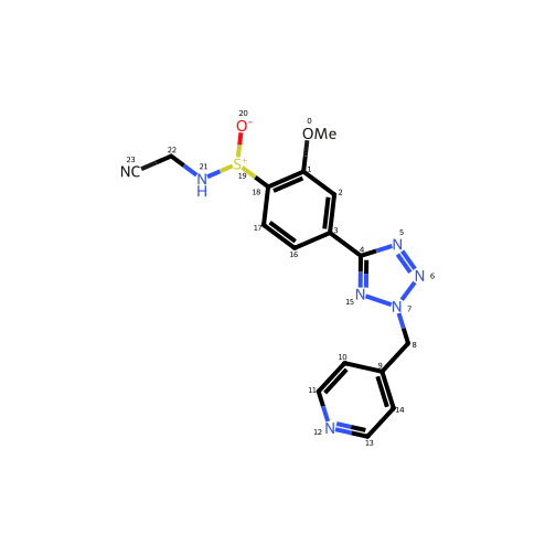 COc1cc(-c2nnn(Cc3ccncc3)n2)ccc1[S+]([O-])NCC#N